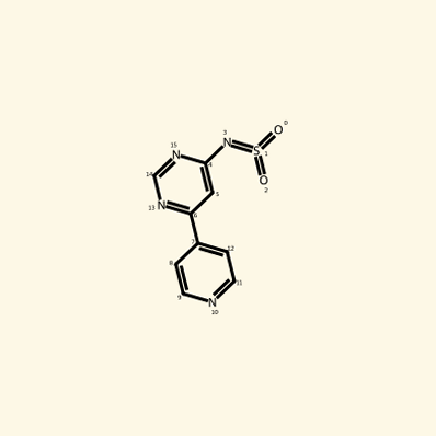 O=S(=O)=Nc1cc(-c2ccncc2)ncn1